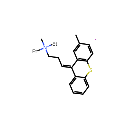 CC[N+](C)(CC)CCC=C1c2ccccc2Sc2ccc(C)cc21.[I-]